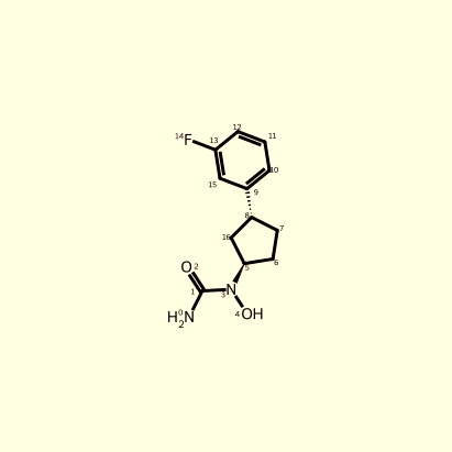 NC(=O)N(O)[C@@H]1CC[C@@H](c2cccc(F)c2)C1